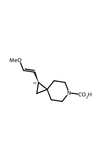 COC=C[C@@H]1CC12CCN(C(=O)O)CC2